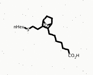 CCCCCCSCCC1C2CCC(O2)C1CCCCCCC(=O)O